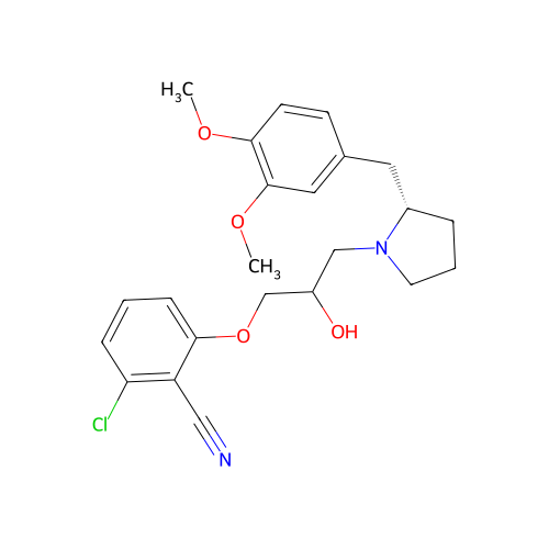 COc1ccc(C[C@@H]2CCCN2CC(O)COc2cccc(Cl)c2C#N)cc1OC